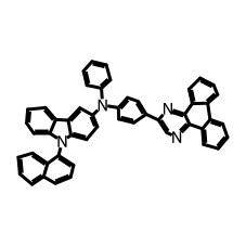 c1ccc(N(c2ccc(-c3cnc4c5ccccc5c5ccccc5c4n3)cc2)c2ccc3c(c2)c2ccccc2n3-c2cccc3ccccc23)cc1